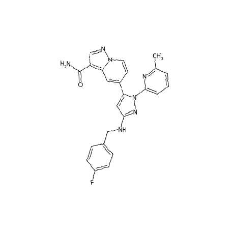 Cc1cccc(-n2nc(NCc3ccc(F)cc3)cc2-c2ccn3ncc(C(N)=O)c3c2)n1